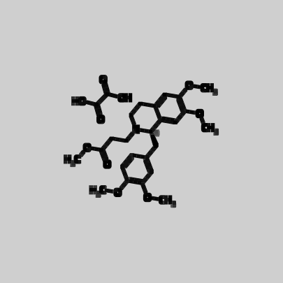 COC(=O)CCN1CCc2cc(OC)c(OC)cc2[C@H]1Cc1ccc(OC)c(OC)c1.O=C(O)C(=O)O